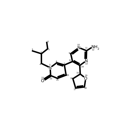 CCC(C)Cn1cc(-c2cnc(N)nc2C2CC=CO2)ccc1=O